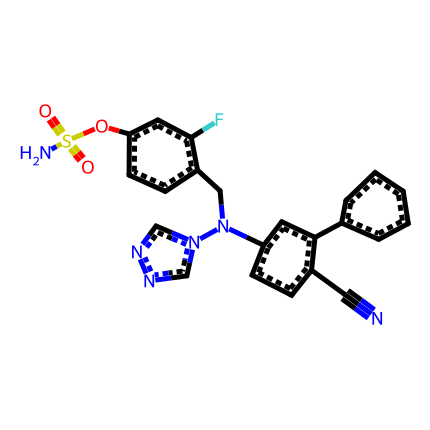 N#Cc1ccc(N(Cc2ccc(OS(N)(=O)=O)cc2F)n2cnnc2)cc1-c1ccccc1